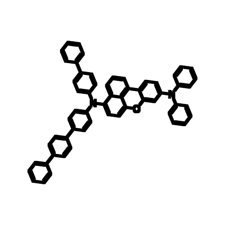 c1ccc(-c2ccc(-c3ccc(N(c4ccc(-c5ccccc5)cc4)c4ccc5c6c(cccc46)-c4ccc(N(c6ccccc6)c6ccccc6)cc4O5)cc3)cc2)cc1